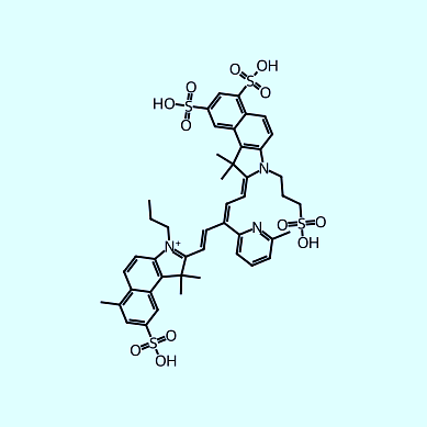 CCC[N+]1=C(/C=C/C(=C/C=C2/N(CCCS(=O)(=O)O)c3ccc4c(S(=O)(=O)O)cc(S(=O)(=O)O)cc4c3C2(C)C)c2cccc(C)n2)C(C)(C)c2c1ccc1c(C)cc(S(=O)(=O)O)cc21